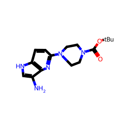 CC(C)(C)OC(=O)N1CCN(c2ccc3[nH]cc(N)c3n2)CC1